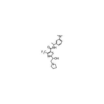 CC(NC(=O)c1sc(C(O)CN2CCCC2)nc1C(F)(F)F)c1cccc(N(C)C)c1